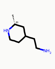 C[C@@H]1CC(CCN)CCN1